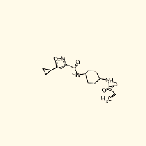 C=CS(=O)(=O)N[C@H]1CC[C@@H](NC(=O)c2cc(C3CC3)on2)CC1